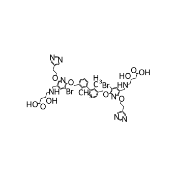 Cc1c(COc2nc(OCCc3cncnc3)c(CNCC(O)CC(=O)O)cc2Br)cccc1-c1cccc(COc2nc(OCCc3cncnc3)c(CNCC(O)CC(=O)O)cc2Br)c1C